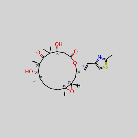 Cc1nc(/C=C/[C@@H]2C[C@@H]3O[C@]3(C)CCC[C@H](C)[C@H](O)[C@@H](C)C(=O)C(C)(C)[C@@H](O)CC(=O)O2)cs1